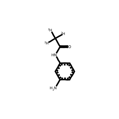 [2H]C([2H])([2H])C(=O)Nc1cccc(N)c1